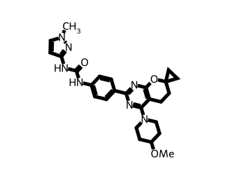 COC1CCN(c2nc(-c3ccc(NC(=O)Nc4ccn(C)n4)cc3)nc3c2CCC2(CC2)O3)CC1